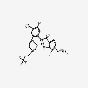 NCc1ccc(C(=O)Nc2cc(F)c(Cl)cc2N2CCN(CCC(F)(F)F)CC2)c(F)c1F